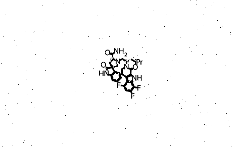 CC(C)C[C@@H](CN1C[C@]2(C[C@H]1C(N)=O)C(=O)Nc1ccccc12)N1CCc2c([nH]c3c(F)c(F)cc(F)c23)C1=O